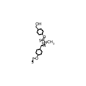 CN(/N=C/c1ccc(OP=S)cc1)[PH](=S)Oc1ccc(CO)cc1